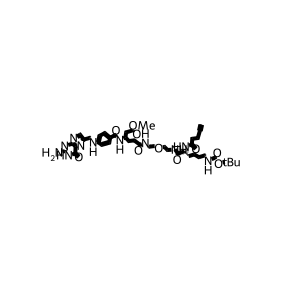 C#CCCC(=O)N[C@H](CCCCNC(=O)OC(C)(C)C)C(=O)NCCOCCNC(=O)CCC(CC(=O)OC)NC(=O)c1ccc(NCc2cnc3nc(N)[nH]c(=O)c3n2)cc1